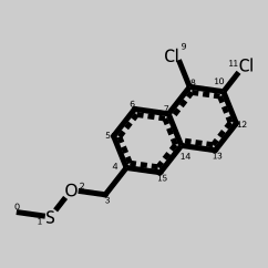 CSOCc1ccc2c(Cl)c(Cl)ccc2c1